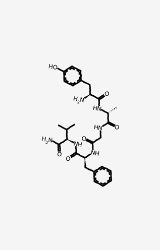 CC(C)[C@@H](NC(=O)[C@H](Cc1ccccc1)NC(=O)CNC(=O)[C@@H](C)NC(=O)[C@@H](N)Cc1ccc(O)cc1)C(N)=O